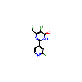 O=c1[nH]c(-c2ccnc(F)c2)nc(CCl)c1Cl